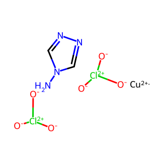 Nn1cnnc1.[Cu+2].[O-][Cl+2]([O-])[O-].[O-][Cl+2]([O-])[O-]